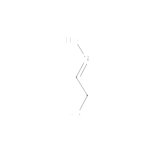 OCC=NO